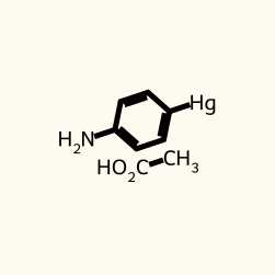 CC(=O)O.Nc1cc[c]([Hg])cc1